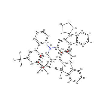 CC(C)(C)c1cc(-c2ccccc2N(c2ccc3c(c2)C2(CCCC2)c2ccccc2-3)c2ccccc2-c2cccc3c2C(C)(C)c2ccccc2-3)cc(C(C)(C)C)c1